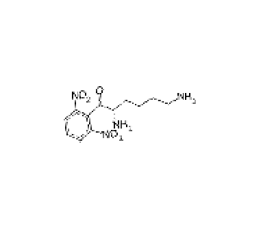 NCCCC[C@H](N)C(=O)c1c([N+](=O)[O-])[c]ccc1[N+](=O)[O-]